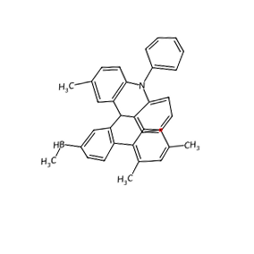 CBc1ccc(-c2ccc(C)cc2C)c(C2c3ccccc3N(c3ccccc3)c3ccc(C)cc32)c1